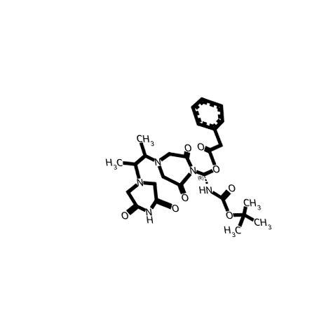 CC(C(C)N1CC(=O)N([C@@H](NC(=O)OC(C)(C)C)OC(=O)Cc2ccccc2)C(=O)C1)N1CC(=O)NC(=O)C1